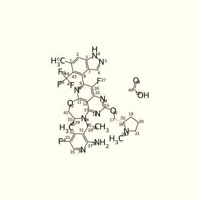 Cc1cc2[nH]ncc2c(-c2nc3c4c(nc(OC[C@@H]5CCCN5C)nc4c2F)N([C@H](C)c2cc(F)cnc2N)[C@@H](C)CO3)c1C(F)(F)F.O=CO